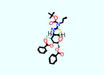 C=CCN(C(=O)OC(C)(C)C)C1=N[C@@H]2[C@H](F)[C@H](OC(=O)c3ccccc3)[C@H](COC(=O)c3ccccc3)O[C@@H]2S1